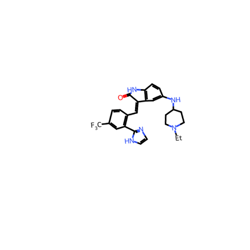 CCN1CCC(Nc2ccc3c(c2)/C(=C/c2ccc(C(F)(F)F)cc2-c2ncc[nH]2)C(=O)N3)CC1